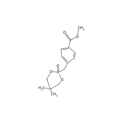 COC(=O)c1ccc(CP2(=O)OCC(C)(C)CO2)cc1